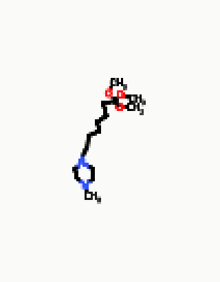 CO[Si](CCCCCCCN1CCN(C)CC1)(OC)OC